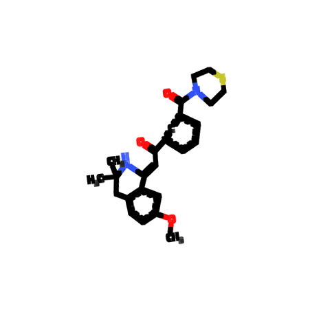 COc1ccc2c(c1)/C(=C/C(=O)c1cccc(C(=O)N3CCSCC3)c1)NC(C)(C)C2